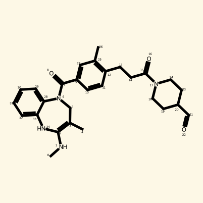 CNC1=C(C)CN(C(=O)c2ccc(CCC(=O)N3CCC(C=O)CC3)c(C)c2)c2ccccc2N1